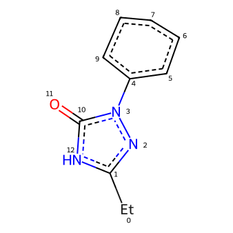 CCc1nn(-c2ccccc2)c(=O)[nH]1